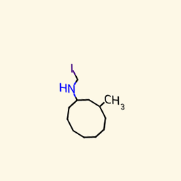 CC1CCCCCCCC(NCI)C1